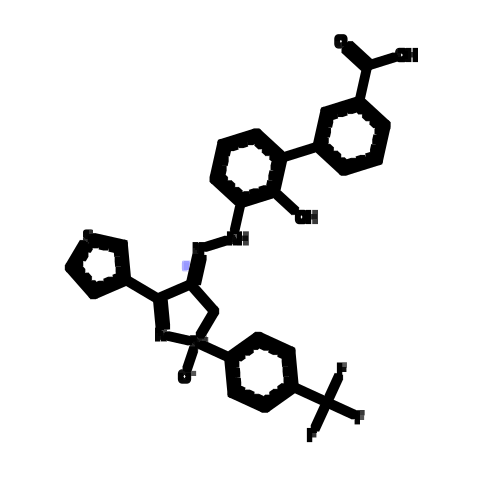 O=C(O)c1cccc(-c2cccc(N/N=C3\C[N+]([O-])(c4ccc(C(F)(F)F)cc4)N=C3c3ccsc3)c2O)c1